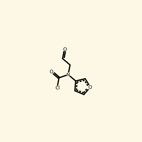 O=CCN(C(=O)Cl)c1ccoc1